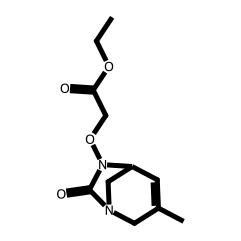 CCOC(=O)CON1C(=O)N2CC(C)=CC1C2